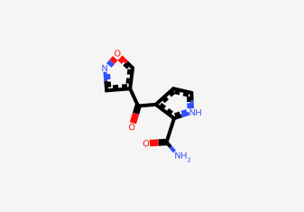 NC(=O)c1[nH]ccc1C(=O)c1cnoc1